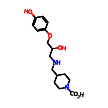 O=C(O)N1CCC(CNC[C@H](O)COc2ccc(O)cc2)CC1